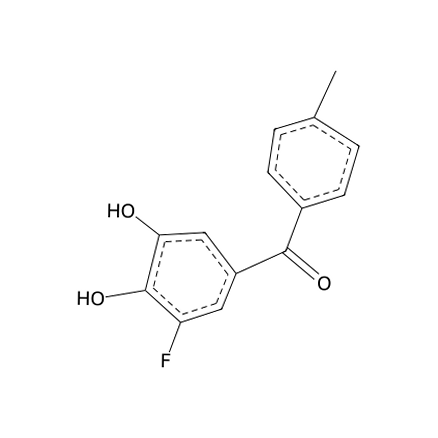 Cc1ccc(C(=O)c2cc(O)c(O)c(F)c2)cc1